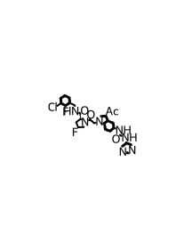 CC(=O)c1cn(CC(=O)N2C[C@H](F)C[C@H]2C(=O)NCc2cccc(Cl)c2F)c2ccc(NC(=O)Nc3cncnc3)cc12